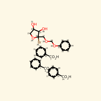 O=C(O)c1ccccc1.O=C(O)c1ccccc1.O=C(O)c1ccccc1.OC1COC(Br)(COCOc2ccccc2)C1O